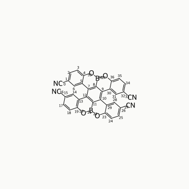 N#Cc1ccc2c(c1)-c1c3c(c4c5c1-c1cc(C#N)ccc1OB5Oc1ccc(C#N)cc1-4)-c1cc(C#N)ccc1OB3O2